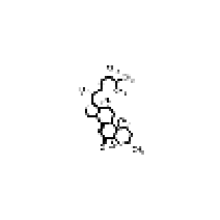 CC(C)[C@@H](C)/C=C/[C@@H](C)[C@H]1CCC2C3=CC(=O)[C@@]4(O)C[C@@H](C)CC[C@]4(C)C3CC[C@@]21C